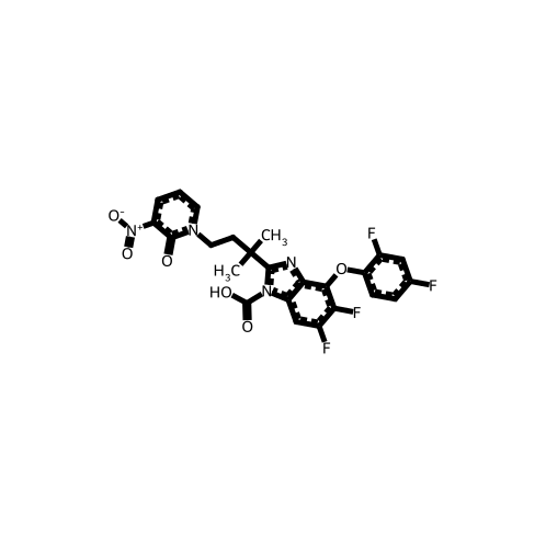 CC(C)(CCn1cccc([N+](=O)[O-])c1=O)c1nc2c(Oc3ccc(F)cc3F)c(F)c(F)cc2n1C(=O)O